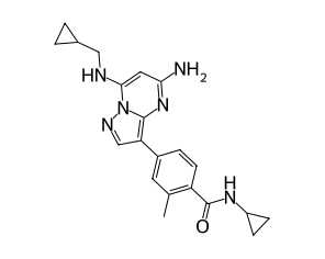 Cc1cc(-c2cnn3c(NCC4CC4)cc(N)nc23)ccc1C(=O)NC1CC1